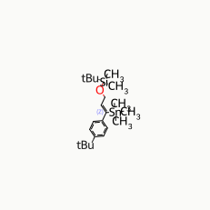 CC(C)(C)c1ccc(/[C](=C/CO[Si](C)(C)C(C)(C)C)[Sn]([CH3])([CH3])[CH3])cc1